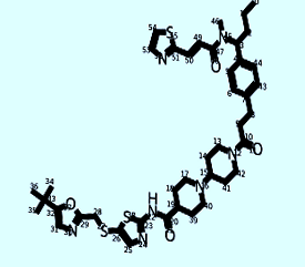 CCCC(c1ccc(CCC(=O)N2CCC(N3CCC(C(=O)Nc4ncc(SCc5ncc(C(C)(C)C)o5)s4)CC3)CC2)cc1)N(C)C(=O)/C=C/c1nccs1